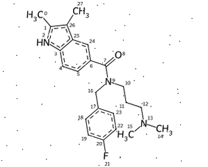 Cc1[nH]c2ccc(C(=O)N(CCCN(C)C)Cc3ccc(F)cc3)cc2c1C